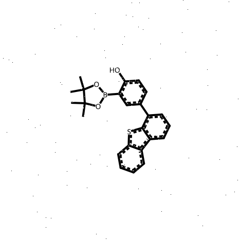 CC1(C)OB(c2cc(-c3cccc4c3sc3ccccc34)ccc2O)OC1(C)C